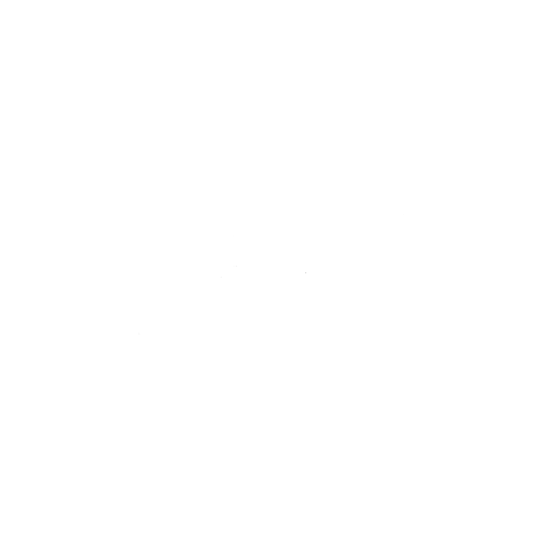 O=C(CCC(=O)c1ccc2sccc2c1)c1ccc(C(F)(F)F)cc1